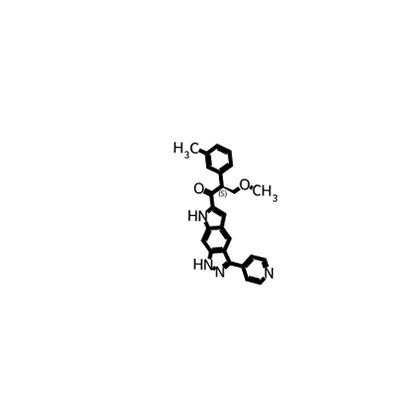 COC[C@@H](C(=O)c1cc2cc3c(-c4ccncc4)n[nH]c3cc2[nH]1)c1cccc(C)c1